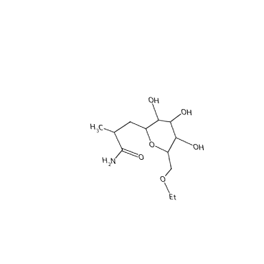 CCOCC1OC(CC(C)C(N)=O)C(O)C(O)C1O